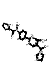 CC(=O)N(C(=O)C1CCCN1)c1ccc(-c2ncc(C(=O)n3ccnc3)c(O)n2)cc1